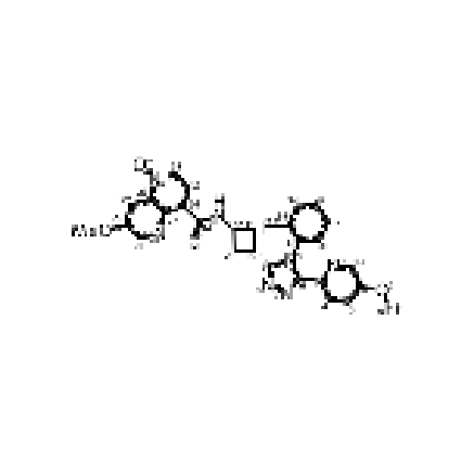 CCOc1ccc(-c2nnc([C@H]3C[C@H](NC(=O)c4cc[n+]([O-])c5cc(OC)cnc45)C3)n2-c2ccccc2F)nc1